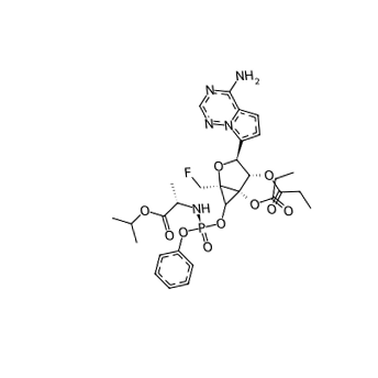 CCC(=O)O[C@H]1[C@H](c2ccc3c(N)ncnn23)O[C@]2(CF)C(O[P@@](=O)(N[C@@H](C)C(=O)OC(C)C)Oc3ccccc3)[C@]12OC(=O)CC